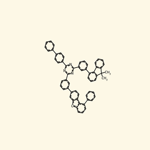 CC1(C)c2ccccc2-c2c(-c3cccc(-c4nc(-c5ccc(-c6ccccc6)cc5)nc(-c5cccc(-c6ccc7c(c6)oc6cccc(-c8ccccc8)c67)c5)n4)c3)cccc21